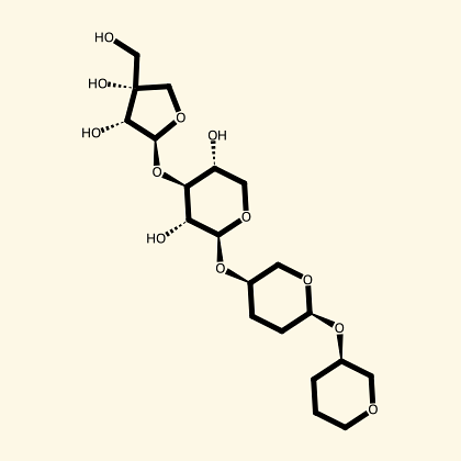 OC[C@@]1(O)CO[C@@H](O[C@@H]2[C@@H](O)[C@H](O[C@@H]3CC[C@H](O[C@@H]4CCCOC4)OC3)OC[C@H]2O)[C@@H]1O